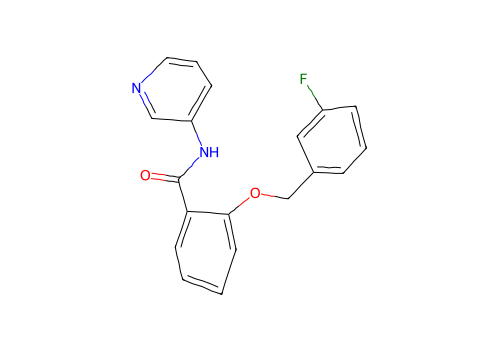 O=C(Nc1cccnc1)c1ccccc1OCc1cccc(F)c1